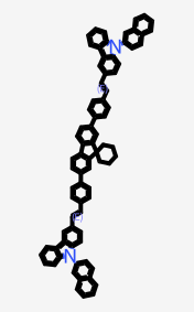 C(=C\c1ccc2c(c1)c1ccccc1n2-c1ccc2ccccc2c1)/c1ccc(-c2ccc3c(c2)C2(CCCCC2)c2cc(-c4ccc(/C=C/c5ccc6c(c5)c5ccccc5n6-c5ccc6ccccc6c5)cc4)ccc2-3)cc1